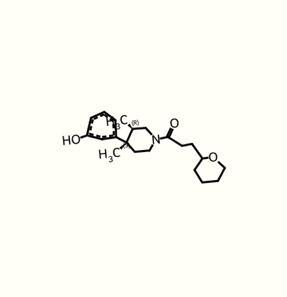 C[C@H]1CN(C(=O)CCC2CCCCO2)CC[C@]1(C)c1cccc(O)c1